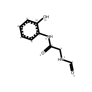 O=CNCC(=O)Nc1ccccc1O